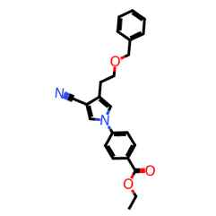 CCOC(=O)c1ccc(-n2cc(C#N)c(CCOCc3ccccc3)c2)cc1